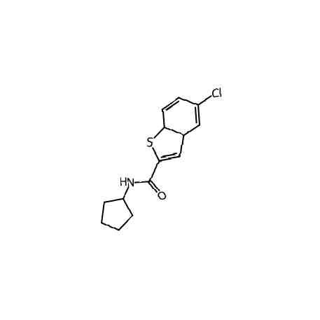 O=C(NC1CCCC1)C1=CC2C=C(Cl)C=CC2S1